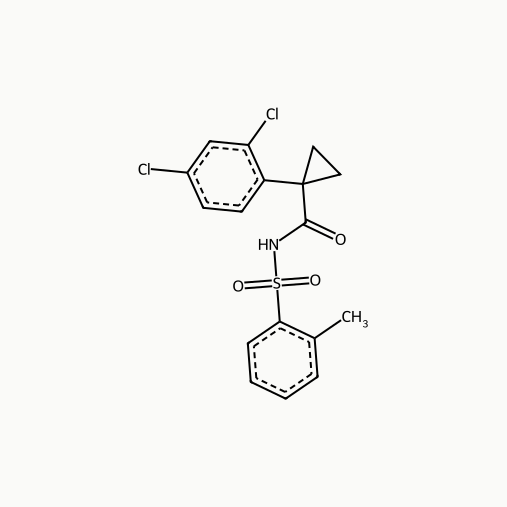 Cc1ccccc1S(=O)(=O)NC(=O)C1(c2ccc(Cl)cc2Cl)CC1